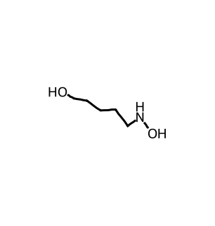 OCCCCCNO